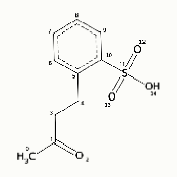 CC(=O)CCc1ccccc1S(=O)(=O)O